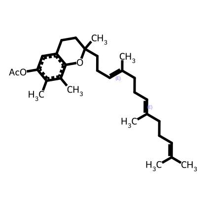 CC(=O)Oc1cc2c(c(C)c1C)OC(C)(CC/C=C(\C)CC/C=C(\C)CCC=C(C)C)CC2